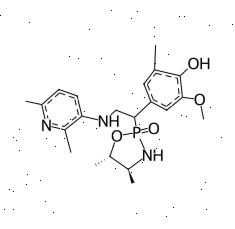 COc1cc(C(CNc2ccc(C)nc2C)P2(=O)N[C@@H](C)[C@H](C)O2)cc(C)c1O